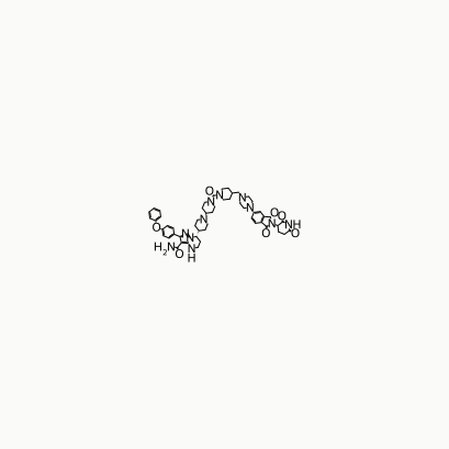 NC(=O)c1c(-c2ccc(Oc3ccccc3)cc2)nn2c1NCC[C@H]2C1CCN(C2CCN(C(=O)N3CCC(CN4CCN(c5ccc6c(c5)C(=O)N(C5CCC(=O)NC5=O)C6=O)CC4)CC3)CC2)CC1